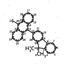 CC1(C)c2ccccc2-c2ccc(-c3c4ccccc4c(I)c4ccccc34)cc21